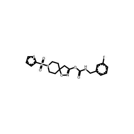 O=C(NCc1cccc(F)c1)OC1=NOC2(CCN(S(=O)(=O)c3cccs3)CC2)C1